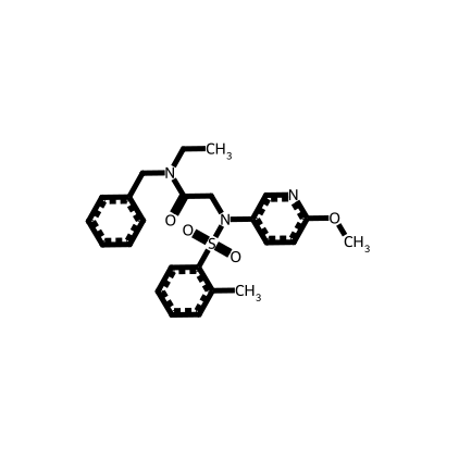 CCN(Cc1ccccc1)C(=O)CN(c1ccc(OC)nc1)S(=O)(=O)c1ccccc1C